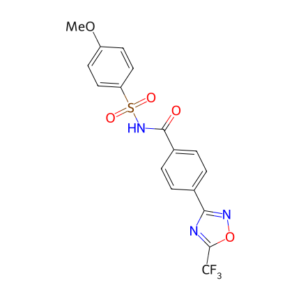 COc1ccc(S(=O)(=O)NC(=O)c2ccc(-c3noc(C(F)(F)F)n3)cc2)cc1